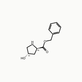 O=C(OCc1ccccc1)[C@H]1C[C@H](O)CN1